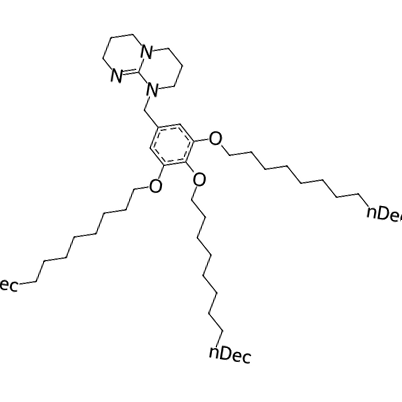 CCCCCCCCCCCCCCCCCCOc1cc(CN2CCCN3CCCN=C32)cc(OCCCCCCCCCCCCCCCCCC)c1OCCCCCCCCCCCCCCCCCC